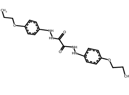 CCCOc1ccc(NNC(=O)C(=O)NNc2ccc(OCCC)cc2)cc1